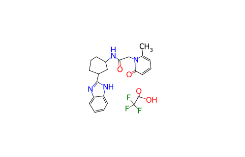 Cc1cccc(=O)n1CC(=O)NC1CCCC(c2nc3ccccc3[nH]2)C1.O=C(O)C(F)(F)F